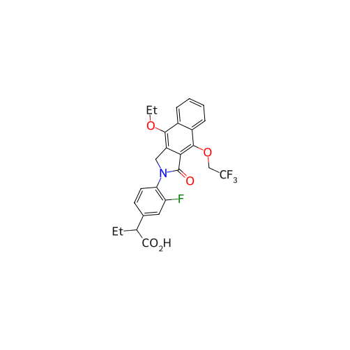 CCOc1c2c(c(OCC(F)(F)F)c3ccccc13)C(=O)N(c1ccc(C(CC)C(=O)O)cc1F)C2